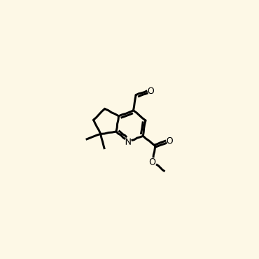 COC(=O)c1cc(C=O)c2c(n1)C(C)(C)CC2